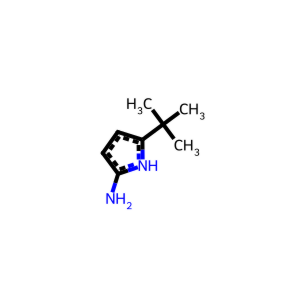 CC(C)(C)c1ccc(N)[nH]1